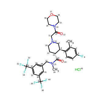 Cc1cc(F)ccc1[C@@H]1CN(CC(=O)N2CCOCC2)CC[C@H]1C(=O)N(C)Cc1cc(C(F)(F)F)cc(C(F)(F)F)c1.Cl